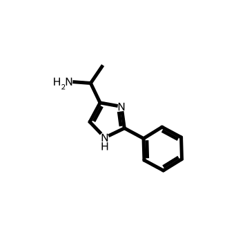 CC(N)c1c[nH]c(-c2ccccc2)n1